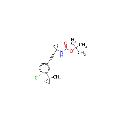 CC(C)(C)OC(=O)NC1(C#Cc2ccc(Cl)c(C3(C)CC3)c2)CC1